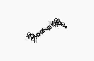 O=C1CCC(Nc2ccc(N3CCN(CCN4CCC(SCc5nc6cc(OCC7CC7)cc(F)c6c(=O)[nH]5)CC4)CC3)cc2)C(=O)N1